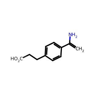 C=C(N)c1ccc(CCC(=O)O)cc1